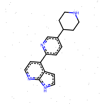 c1cc(-c2ccc(C3CCNCC3)cn2)c2cc[nH]c2n1